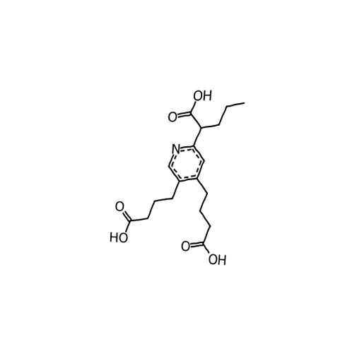 CCCC(C(=O)O)c1cc(CCCC(=O)O)c(CCCC(=O)O)cn1